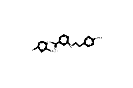 COc1ccc(CCOc2cccc(C(=O)Nc3ccc(Br)cc3C(=O)O)c2)cc1